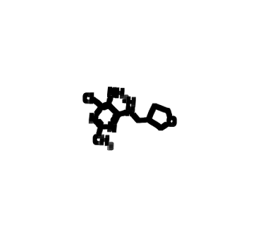 Cc1nc(Cl)c(N)c(NCC2CCOC2)n1